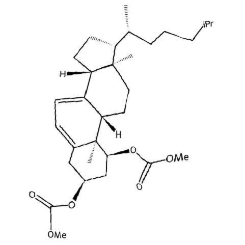 COC(=O)O[C@H]1CC2=CC=C3[C@@H]4CC[C@H]([C@H](C)CCCC(C)C)[C@@]4(C)CC[C@@H]3[C@@]2(C)[C@@H](OC(=O)OC)C1